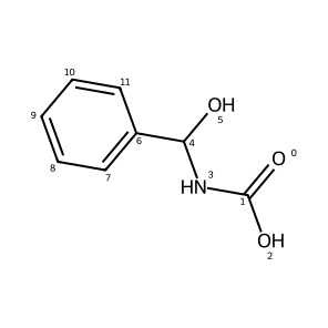 O=C(O)NC(O)c1ccccc1